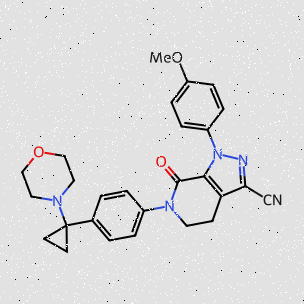 COc1ccc(-n2nc(C#N)c3c2C(=O)N(c2ccc(C4(N5CCOCC5)CC4)cc2)CC3)cc1